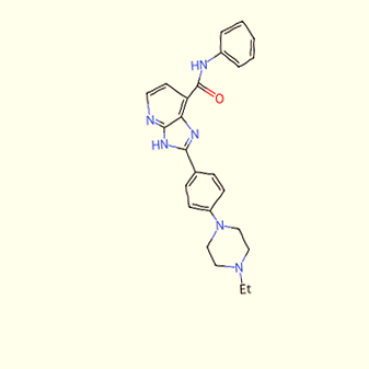 CCN1CCN(c2ccc(-c3nc4c(C(=O)Nc5ccccc5)ccnc4[nH]3)cc2)CC1